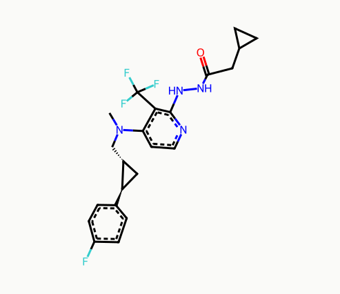 CN(C[C@@H]1C[C@H]1c1ccc(F)cc1)c1ccnc(NNC(=O)CC2CC2)c1C(F)(F)F